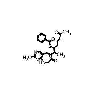 CC(=O)OCC/C(SC(=O)c1ccccc1)=C(\C)N1Cc2cnc(C)nc2NCC1=O